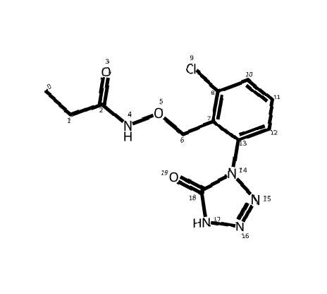 CCC(=O)NOCc1c(Cl)cccc1-n1nn[nH]c1=O